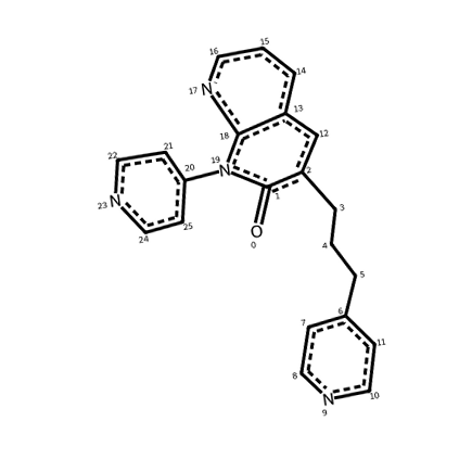 O=c1c(CCCc2ccncc2)cc2cccnc2n1-c1ccncc1